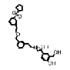 O=S(=O)(c1cccc(CCOCc2cccc(CCNC[C@H](O)c3ccc(O)c(CO)c3)c2)c1)C1CCCC1